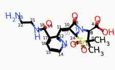 CC1(C)[C@H](C(=O)O)N2C(=O)/C(=C/c3ncccc3C(=O)NCCN)C2S1(=O)=O